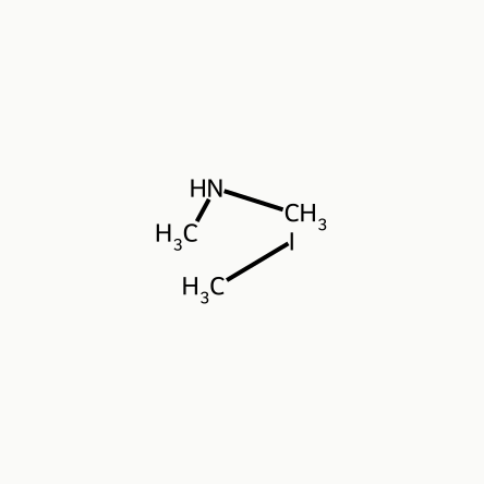 CI.CNC